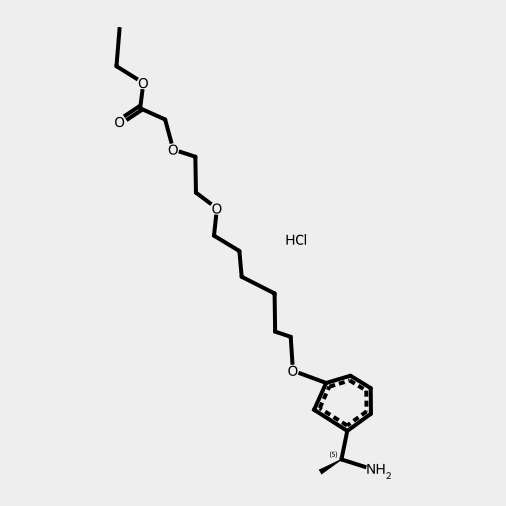 CCOC(=O)COCCOCCCCCCOc1cccc([C@H](C)N)c1.Cl